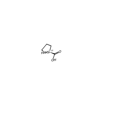 O=C(O)[Si@@H]1CCCN1